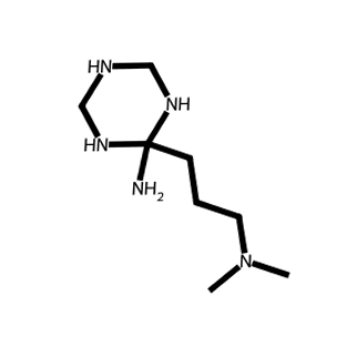 CN(C)CCCC1(N)NCNCN1